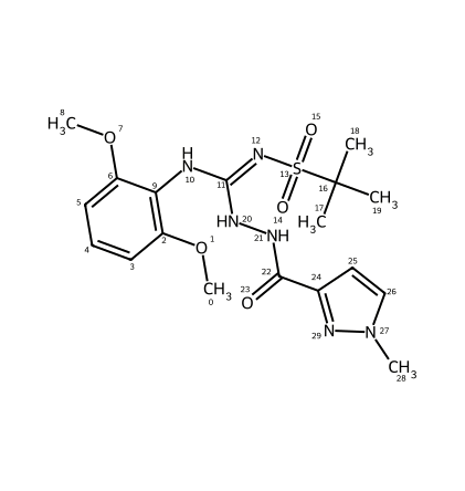 COc1cccc(OC)c1N/C(=N/S(=O)(=O)C(C)(C)C)NNC(=O)c1ccn(C)n1